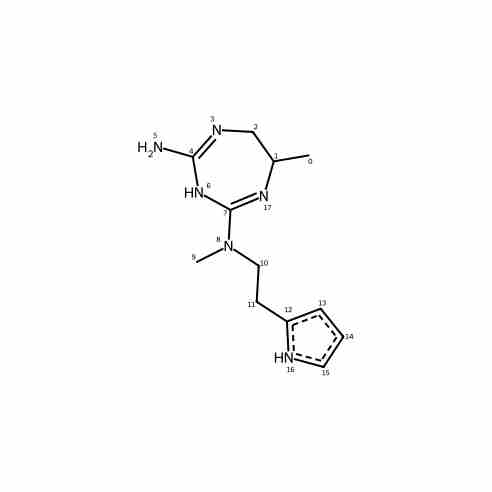 CC1CN=C(N)NC(N(C)CCc2ccc[nH]2)=N1